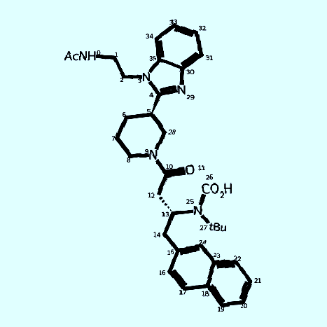 CC(=O)NCCn1c([C@@H]2CCCN(C(=O)C[C@@H](Cc3ccc4ccccc4c3)N(C(=O)O)C(C)(C)C)C2)nc2ccccc21